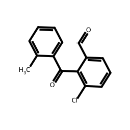 Cc1ccccc1C(=O)c1c(Cl)cccc1[C]=O